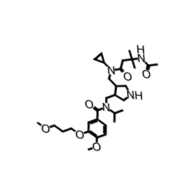 COCCCOc1cc(C(=O)N(CC2CNCC2CN(C(=O)CC(C)(C)NC(C)=O)C2CC2)C(C)C)ccc1OC